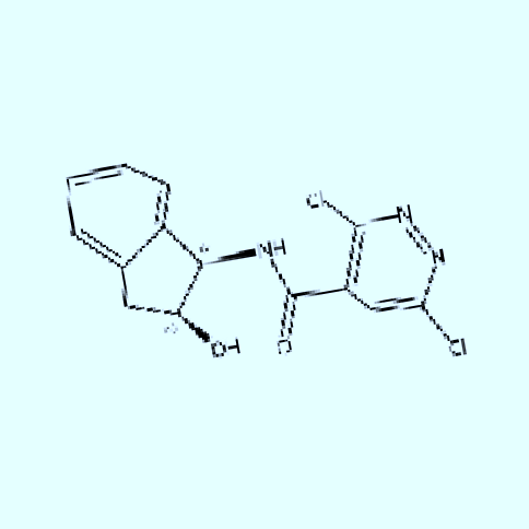 O=C(N[C@@H]1c2ccccc2C[C@@H]1O)c1cc(Cl)nnc1Cl